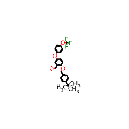 CC(C)(C)c1ccc(COc2ccc(Oc3ccc(OC(F)(F)F)cc3)cc2C=O)cc1